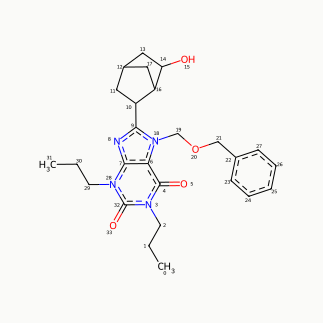 CCCn1c(=O)c2c(nc(C3CC4CC(O)C3C4)n2COCc2ccccc2)n(CCC)c1=O